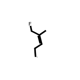 [CH2]CC=C(C)CF